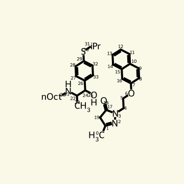 CC1=NN(CCOc2ccc3ccccc3c2)C(=O)C1.CCCCCCCCNC(C)C(O)c1ccc(SC(C)C)cc1